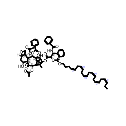 CC/C=C\C/C=C\C/C=C\C/C=C\C/C=C\C/C=C\CCCOC(=O)OC(C(=O)OC1C[C@@]2(O)[C@@H](OC(=O)c3ccccc3)[C@@H]3[C@]4(OC(C)=O)CO[C@@H]4C[C@H](O)[C@@]3(C)C(=O)[C@H](OC(C)=O)C(=C1C)C2(C)C)[C@H](NC(=O)c1ccccc1)c1ccccc1